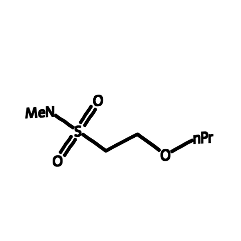 CCCOCCS(=O)(=O)NC